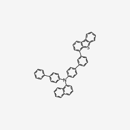 c1ccc(-c2ccc(N(c3ccc(-c4cccc(-c5cccc6c5sc5ccccc56)c4)cc3)c3cccc4ccccc34)cc2)cc1